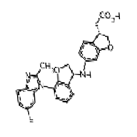 Cc1nc2ccc(F)cc2n1-c1cccc2c1OCC2Nc1ccc2c(c1)OC[C@H]2CC(=O)O